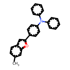 Cc1ccc2cc(-c3ccc(N(c4ccccc4)c4ccccc4)cc3)oc2c1